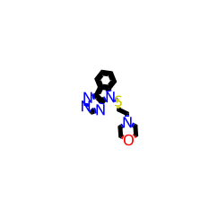 c1ccc2c(c1)c1nncnc1n2SCCN1CCOCC1